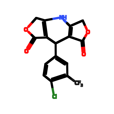 O=C1OCC2=C1C(c1ccc(Cl)c(C(F)(F)F)c1)C1=C(COC1=O)N2